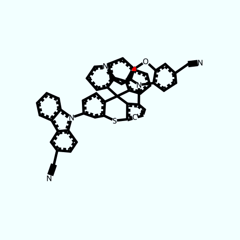 N#Cc1ccc2c(c1)Oc1ccccc1N2c1cccc2c1C1(c3ccc(-n4c5ccccc5c5cc(C#N)ccc54)cc3S2)c2cccnc2-c2ncccc21